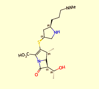 CNCCC[C@@H]1C[C@H](SC2=C(C(=O)O)N3C(=O)[C@H]([C@@H](C)O)C3[C@H]2C)CN1